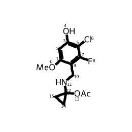 COc1cc(O)c(Cl)c(F)c1CNC1(OC(C)=O)CC1